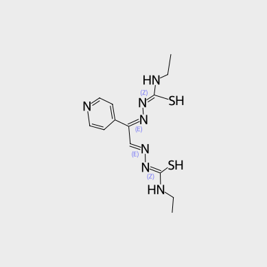 CCN/C(S)=N/N=C/C(=N/N=C(\S)NCC)c1ccncc1